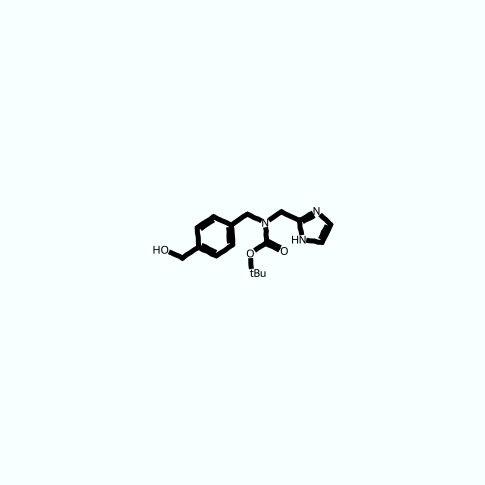 CC(C)(C)OC(=O)N(Cc1ccc(CO)cc1)Cc1ncc[nH]1